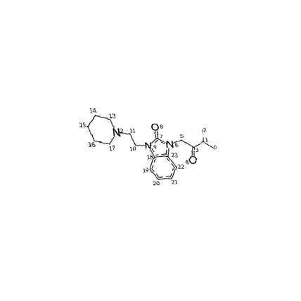 CC(C)C(=O)Cn1c(=O)n(CCN2CCCCC2)c2ccccc21